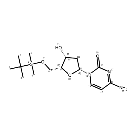 CC(C)(C)[Si](C)(C)OC[C@H]1O[C@@H](n2ccc(N)nc2=O)C[C@H]1O